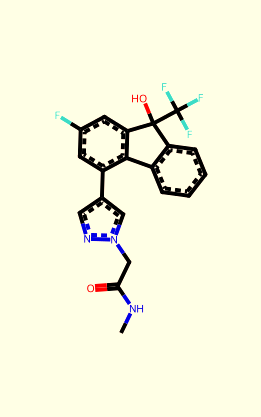 CNC(=O)Cn1cc(-c2cc(F)cc3c2-c2ccccc2C3(O)C(F)(F)F)cn1